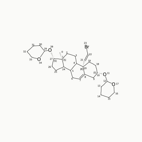 C[C@]12CCC3C(CC=C4C[C@@H](OC5CCCCO5)CC[C@@]43C=CBr)C1CC[C@@H]2OC1CCCCO1